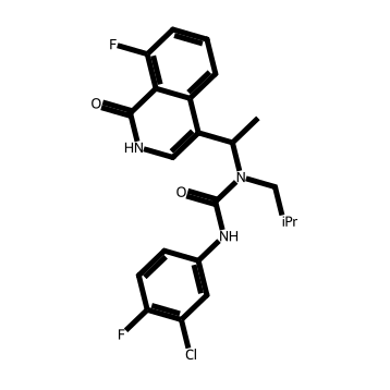 CC(C)CN(C(=O)Nc1ccc(F)c(Cl)c1)C(C)c1c[nH]c(=O)c2c(F)cccc12